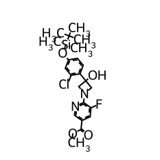 COC(=O)c1cnc(N2CC(O)(c3ccc(O[Si](C)(C)C(C)(C)C)cc3Cl)C2)c(F)c1